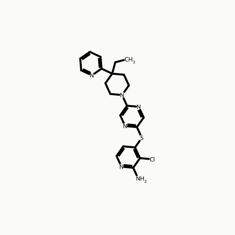 CCC1(c2ccccn2)CCN(c2cnc(Sc3ccnc(N)c3Cl)cn2)CC1